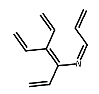 C=C/C=N\C(C=C)=C(C=C)C=C